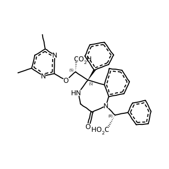 Cc1cc(C)nc(O[C@H](C(=O)O)[C@@]2(c3ccccc3)NCC(=O)N([C@@H](C(=O)O)c3ccccc3)c3ccccc32)n1